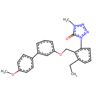 CCc1cccc(-n2nnn(C)c2=O)c1COc1cccc(-c2ccc(OC)cc2)c1